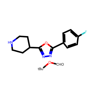 CC(C)(C)OC=O.Fc1ccc(-c2nnc(C3CCNCC3)o2)cc1